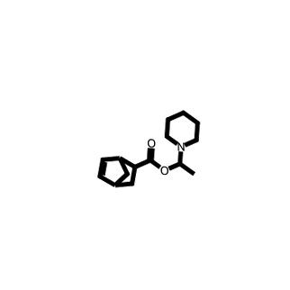 CC(OC(=O)C1CC2C=CC1C2)N1CCCCC1